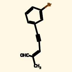 C/C(C=O)=C/C#Cc1cccc(Br)c1